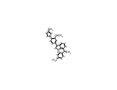 COc1cc(-c2n[nH]c3c(C(C)c4ccc(C)cc4)cccc23)ccc1-n1cnc(C)c1